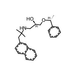 C[C@@H](OC[C@H](O)CNC(C)(C)Cc1ccc2ccccc2c1)c1ccccc1